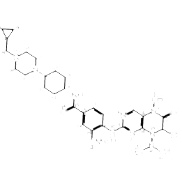 CCC1C(=O)N(C)c2cnc(Nc3ccc(C(=O)N[C@H]4CC[C@H](N5CCN(CC6CC6)CC5)CC4)cc3OC)nc2N1N(C)CC